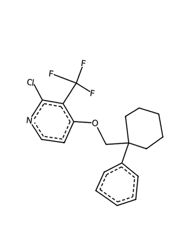 FC(F)(F)c1c(OCC2(c3ccccc3)CCCCC2)ccnc1Cl